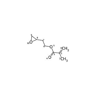 C=C(C)C(=O)OCCC1CO1